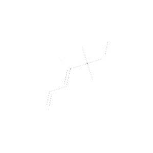 COC(C)(C)C(C)=CC=O